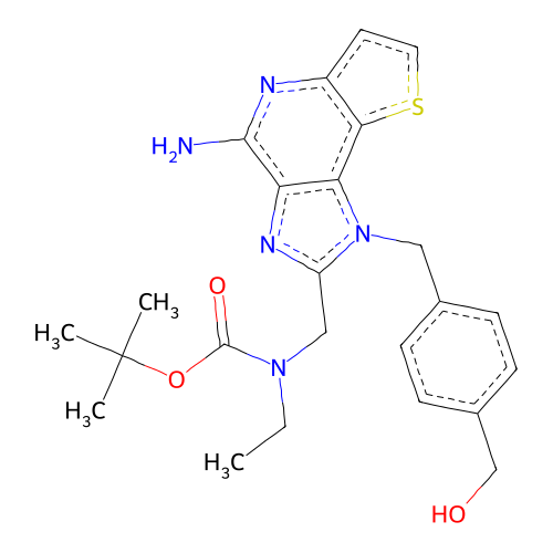 CCN(Cc1nc2c(N)nc3ccsc3c2n1Cc1ccc(CO)cc1)C(=O)OC(C)(C)C